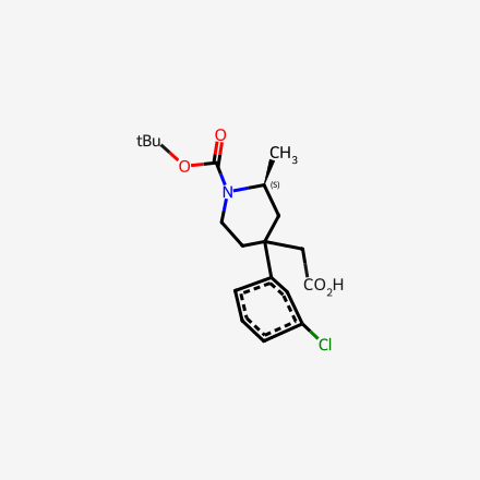 C[C@H]1CC(CC(=O)O)(c2cccc(Cl)c2)CCN1C(=O)OC(C)(C)C